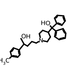 Cc1ccc(C(CO)CCCN2CCC(C(O)(c3ccccc3)c3ccccc3)CC2)cc1